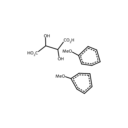 COc1ccccc1.COc1ccccc1.O=C(O)C(O)C(O)C(=O)O